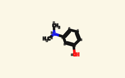 CN(C)c1c[c]cc(O)c1